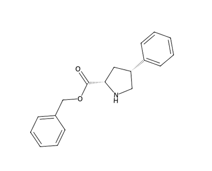 O=C(OCc1ccccc1)[C@@H]1C[C@H](c2ccccc2)CN1